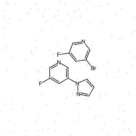 Fc1cncc(-n2cccn2)c1.Fc1cncc(Br)c1